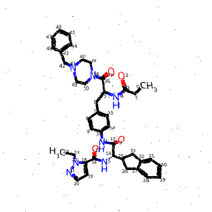 CCC(=O)NC(Cc1ccc(NC(=O)[C@@H](NC(=O)c2ccnn2CC)C2Cc3ccccc3C2)cc1)C(=O)N1CCN(Cc2ccccc2)CC1